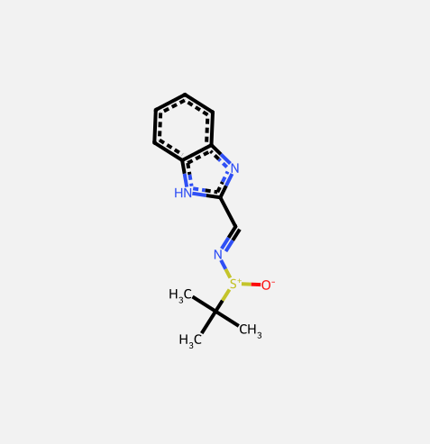 CC(C)(C)[S+]([O-])/N=C/c1nc2ccccc2[nH]1